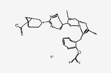 Cc1cc2nc(C)c(Cc3ccccc3OC(F)F)n2cc1-c1cnc(N2CCC3(C(=O)[O-])CC3C2)nc1.[K+]